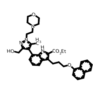 CCOC(=O)c1[nH]c2c(-c3c(CO)nn(CCN4CCOCC4)c3C)cccc2c1CCCOc1cccc2ccccc12